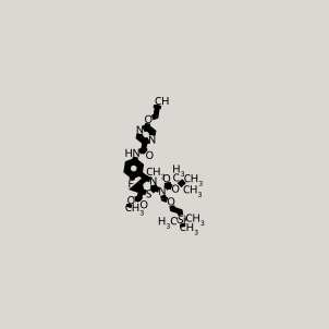 C#CCOc1cnc(C(=O)Nc2ccc(F)c(C3(C)N=C(N(COCC[Si](C)(C)C)C(=O)OC(C)(C)C)SC4(C(=O)OC)CC43)c2)cn1